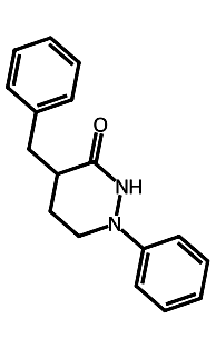 O=C1NN(c2ccccc2)CCC1Cc1ccccc1